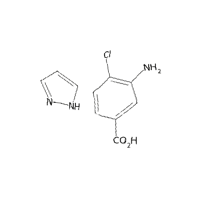 Nc1cc(C(=O)O)ccc1Cl.c1cn[nH]c1